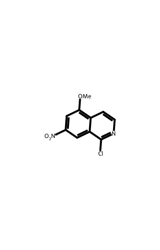 COc1cc([N+](=O)[O-])cc2c(Cl)nccc12